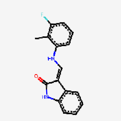 Cc1c(F)cccc1NC=C1C(=O)Nc2ccccc21